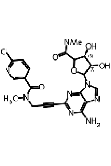 CNC(=O)C1OC(n2cnc3c(N)nc(C#CCN(C)C(=O)c4ccc(Cl)nc4)nc32)[C@H](O)[C@@H]1O